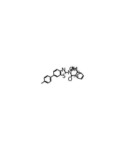 CC(=O)[C@H]1C2C=CC(C2)[C@H]1C(=O)N(O)c1nc2ccc(-c3ccc(C)cc3)cc2s1